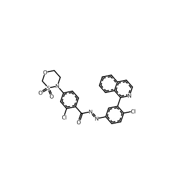 O=C(N=Nc1ccc(Cl)c(-c2nccc3ccccc23)c1)c1ccc(N2CCOCS2(=O)=O)cc1Cl